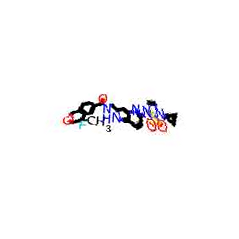 C[C@@]1(F)COCc2ccc(C(=O)NCc3cc4nc(N5CCN(C6CC6)S5(=O)=O)ccc4cn3)cc21